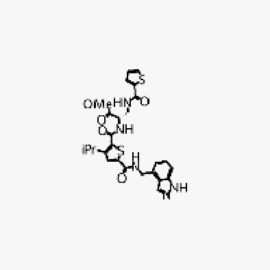 COC(=O)[C@H](CNC(=O)c1cccs1)NC(=O)c1sc(C(=O)NCc2cccc3[nH]ncc23)cc1C(C)C